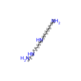 CC(N)CCCNCCCCCCCCCNCCCCCCCCCCCCCN